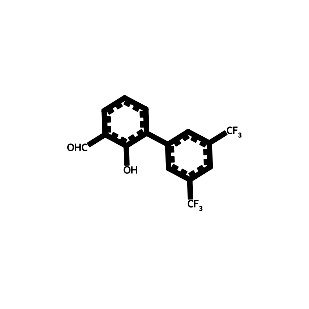 O=Cc1cccc(-c2cc(C(F)(F)F)cc(C(F)(F)F)c2)c1O